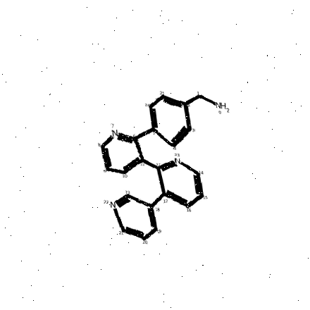 NCc1ccc(-c2ncccc2-c2ncccc2-c2cccnc2)cc1